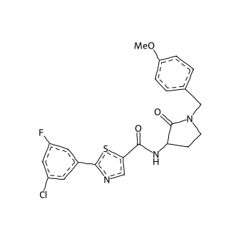 COc1ccc(CN2CCC(NC(=O)c3cnc(-c4cc(F)cc(Cl)c4)s3)C2=O)cc1